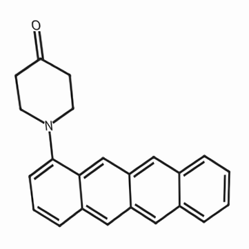 O=C1CCN(c2cccc3cc4cc5ccccc5cc4cc23)CC1